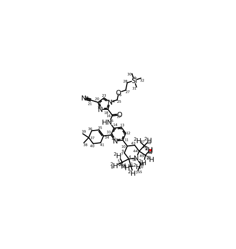 [2H]C([2H])([2H])C1(C([2H])([2H])[2H])CC(c2ccc(NC(=O)c3nc(C#N)cn3COCC[Si](C)(C)C)c(C3=CCC(C)(C)CC3)n2)CC(C([2H])([2H])[2H])(C([2H])([2H])[2H])N1CC